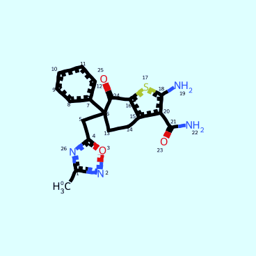 Cc1noc(CC2(c3ccccc3)CCc3c(sc(N)c3C(N)=O)C2=O)n1